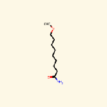 NC(=O)CCCCCCCCOC=O